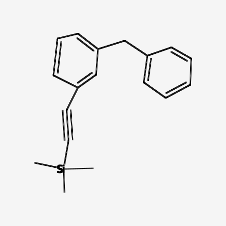 C[Si](C)(C)C#Cc1cccc(Cc2ccccc2)c1